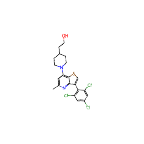 Cc1cc(N2CCC(CCO)CC2)c2scc(-c3c(Cl)cc(Cl)cc3Cl)c2n1